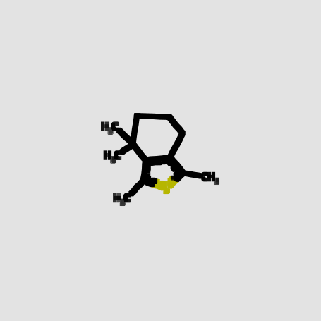 Cc1sc(C)c2c1CCCC2(C)C